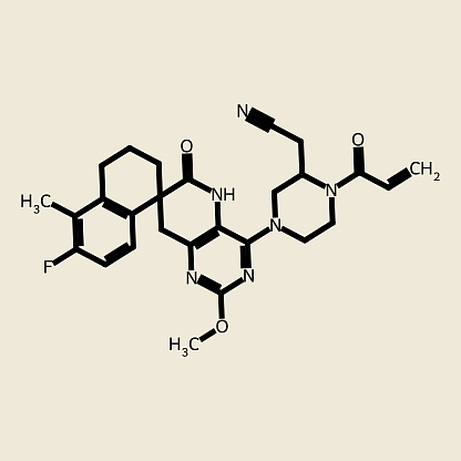 C=CC(=O)N1CCN(c2nc(OC)nc3c2NC(=O)C2(CCCc4c2ccc(F)c4C)C3)CC1CC#N